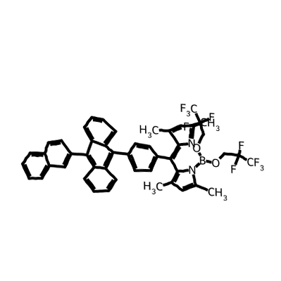 CC1=CC(C)=N/C1=C(/c1ccc(-c2c3ccccc3c(-c3ccc4ccccc4c3)c3ccccc23)cc1)c1c(C)cc(C)n1B(OCC(F)(F)C(F)(F)F)OCC(F)(F)C(F)(F)F